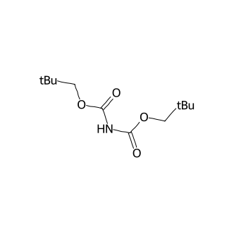 CC(C)(C)COC(=O)NC(=O)OCC(C)(C)C